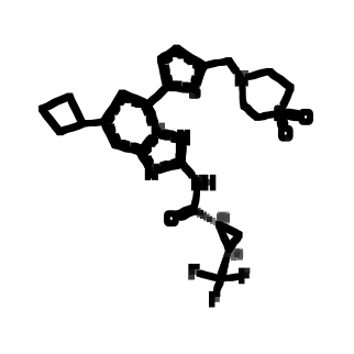 O=C(Nc1nc2cc(C3CCC3)cc(-c3ccc(CN4CCS(=O)(=O)CC4)s3)n2n1)[C@@H]1C[C@H]1C(F)(F)F